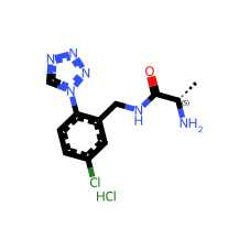 C[C@H](N)C(=O)NCc1cc(Cl)ccc1-n1cnnn1.Cl